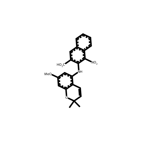 COc1cc(Nc2c(C(=O)O)cc3ccccc3c2[N+](=O)[O-])c2c(c1)OC(C)(C)C=C2